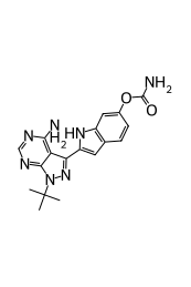 CC(C)(C)n1nc(-c2cc3ccc(OC(N)=O)cc3[nH]2)c2c(N)ncnc21